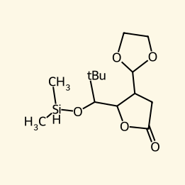 C[SiH](C)OC(C1OC(=O)CC1C1OCCO1)C(C)(C)C